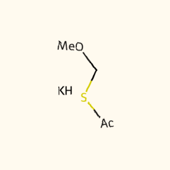 COCSC(C)=O.[KH]